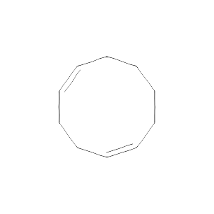 C1=CCCCCC=CCC1